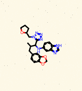 CC(Cc1ccc2c(c1)OCO2)C(Nc1ccc2[nH]cnc2c1)c1nnnn1CC1CCCO1